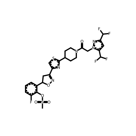 CS(=O)(=O)Oc1c(F)cccc1C1CC(c2csc(C3CCN(C(=O)Cn4nc(C(F)F)cc4C(F)F)CC3)n2)=NO1